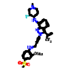 C=C(c1c2cccc(N[C@@H]3CCN(C)C[C@@H]3F)c2nn1C#CCNc1ccc(S(C)(=O)=O)cc1OC)C(F)(F)F